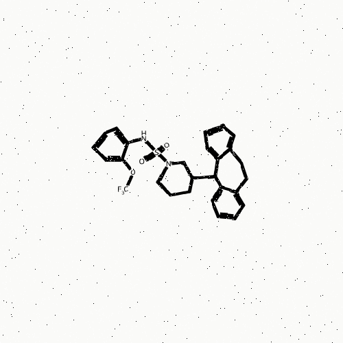 O=S(=O)(Nc1ccccc1OC(F)(F)F)N1CCCC(C2c3ccccc3CCc3ccccc32)C1